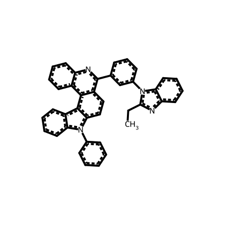 CCc1nc2ccccc2n1-c1cccc(-c2nc3ccccc3c3c2ccc2c3c3ccccc3n2-c2ccccc2)c1